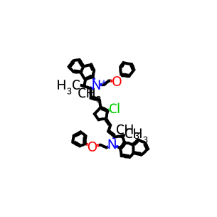 CC1(C)C(/C=C/C2=C(Cl)C(=C/C=C3/N(CCOc4ccccc4)c4ccc5ccccc5c4C3(C)C)/CC2)=[N+](CCOc2ccccc2)c2ccc3ccccc3c21